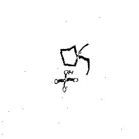 CC[N+]1(C)CCCC1.O=S(=O)([O-])O